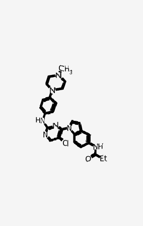 CCC(=O)Nc1ccc2c(ccn2-c2nc(Nc3ccc(N4CCN(C)CC4)cc3)ncc2Cl)c1